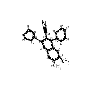 Cc1cc2cc(-c3ccccc3)c(C#N)c(-c3ccccc3)c2cc1C